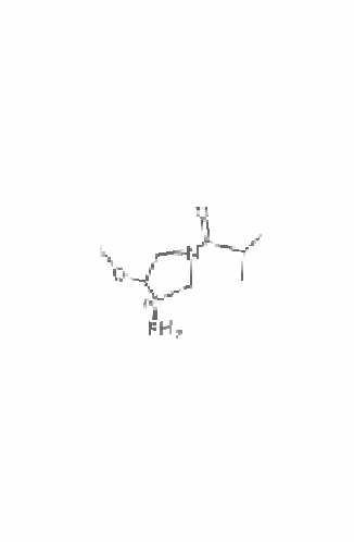 CC(C)C(=O)N1CC(OI)[C@H](P)C1